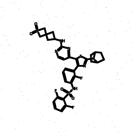 O=S1(=O)CC2(CC(Nc3nccc(-c4sc(N5C6CCC5CC6)nc4-c4cccc(NS(=O)(=O)c5c(F)cccc5F)c4F)n3)C2)C1